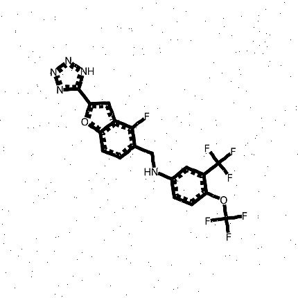 Fc1c(CNc2ccc(OC(F)(F)F)c(C(F)(F)F)c2)ccc2oc(-c3nnn[nH]3)cc12